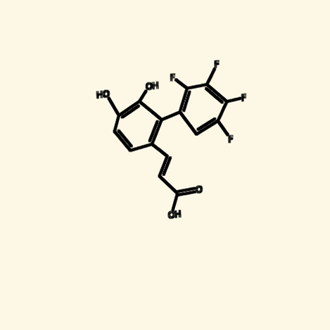 O=C(O)C=Cc1ccc(O)c(O)c1-c1cc(F)c(F)c(F)c1F